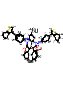 CC(C)(C)c1cc2c3c(c1)N(c1ccc(-c4csc5ccccc45)cc1)c1oc4ccc(C(C)(C)C)cc4c1B3c1c(oc3ccc(C(C)(C)C)cc13)N2c1ccc(-c2csc3ccccc23)cc1